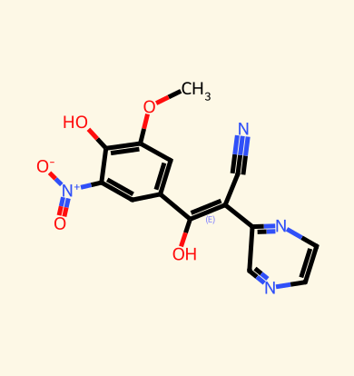 COc1cc(/C(O)=C(\C#N)c2cnccn2)cc([N+](=O)[O-])c1O